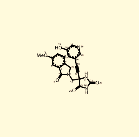 COc1ccc2c(c1)C(=O)N(C[C@@]1(C#Cc3cncc(O)c3)NC(=O)NC1=O)C2